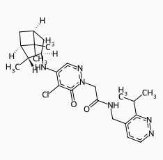 CC(C)c1nnccc1CNC(=O)Cn1ncc(N[C@@H]2C[C@@H]3C[C@H]([C@H]2C)C3(C)C)c(Cl)c1=O